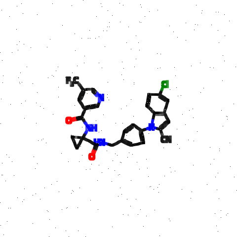 N#Cc1cc2cc(Cl)ccc2n1-c1ccc(CNC(=O)C2(NC(=O)c3cncc(C(F)(F)F)c3)CC2)cc1